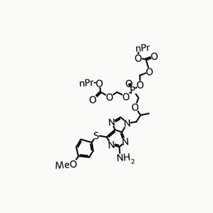 CCCOC(=O)OCOP(=O)(COC(C)Cn1cnc2c(Sc3ccc(OC)cc3)nc(N)nc21)OCOC(=O)OCCC